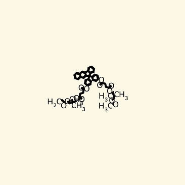 C=CC(=O)OCC(C)(C)COC(=O)CCC(=O)Oc1ccc(C2(c3ccc(OC(=O)CCC(=O)OCC(C)(C)COC(C)=O)cc3)c3ccccc3-c3cc4ccccc4cc32)cc1